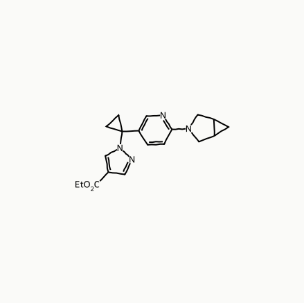 CCOC(=O)c1cnn(C2(c3ccc(N4CC5CC5C4)nc3)CC2)c1